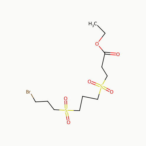 CCOC(=O)CCS(=O)(=O)CCCS(=O)(=O)CCCBr